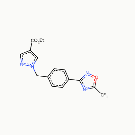 CCOC(=O)c1cnn(Cc2ccc(-c3noc(C(F)(F)F)n3)cc2)c1